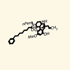 C=CCN1CC[C@]23c4c5c(O)cc(OC)c4O[C@H]2[C@H](N(CCCCC)C(=O)CCCCCCCc2ccccc2)CC[C@H]3[C@H]1C5